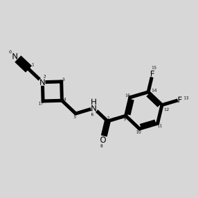 N#CN1CC(CNC(=O)c2ccc(F)c(F)c2)C1